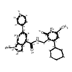 Cc1cc(C2CCCCC2)c(CNC(=O)c2cc(-c3ccncc3)nc3c2cnn3C(C)C)c(=O)[nH]1